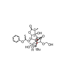 C[C@@H]1C(=O)OC2[C@H](OC(=S)Oc3ccccc3)C34C5OC(=O)C3(OC(OCO)C4(CO)[C@H](C(C)(C)C)[C@H]5O)[C@]21O